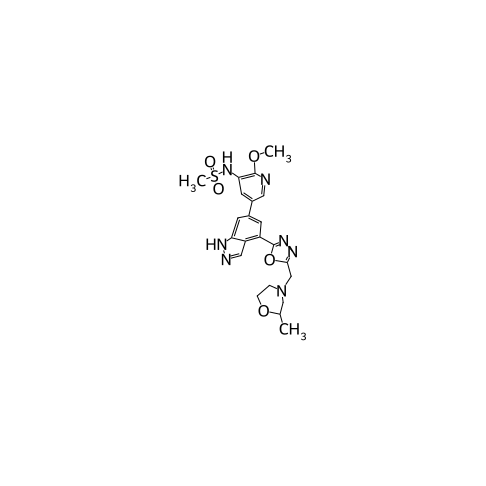 COc1ncc(-c2cc(-c3nnc(CN4CCOC(C)C4)o3)c3cn[nH]c3c2)cc1NS(C)(=O)=O